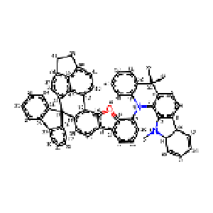 CN1c2c(ccc3c2N(c2cccc4c2oc2c5c(ccc24)C2(c4ccccc4-c4ccccc42)c2ccc4c6c(ccc-5c26)CC4)c2ccccc2C3(C)C)C2C=CC=CC21